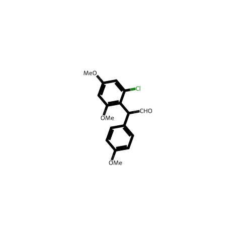 COc1ccc(C(C=O)c2c(Cl)cc(OC)cc2OC)cc1